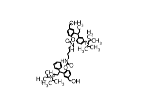 CCC(c1cccc(N(C(C)C)C(C)C)c1)c1cc(CO)ccc1OC(=O)NCCCCNC(=O)Oc1ccc(CO)cc1C(CCN(C(C)C)C(C)C)c1ccccc1